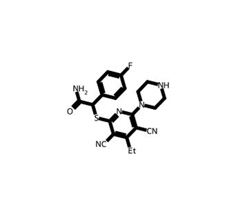 CCc1c(C#N)c(SC(C(N)=O)c2ccc(F)cc2)nc(N2CCNCC2)c1C#N